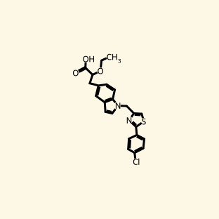 CCOC(Cc1ccc2c(ccn2Cc2csc(-c3ccc(Cl)cc3)n2)c1)C(=O)O